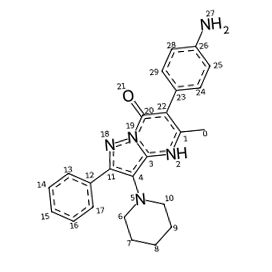 Cc1[nH]c2c(N3CCCCC3)c(-c3ccccc3)nn2c(=O)c1-c1ccc(N)cc1